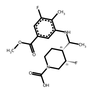 COC(=O)c1cc(F)c(C)c(NC(C)[C@H]2CCN(C(=O)O)C[C@H]2F)c1